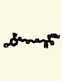 CC(C)(C)OC(=O)NCCOCCOCCOc1ccc(Cl)cc1Br